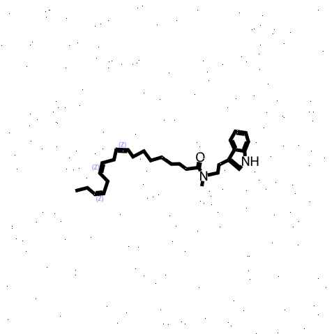 CC/C=C\C/C=C\C/C=C\CCCCCCCC(=O)N(C)CCc1c[nH]c2ccccc12